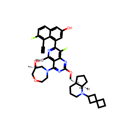 C#Cc1c(F)ccc2cc(O)cc(-c3nc(OC)c4c(N5CCOC[C@@](C)(O)C5)nc(OC[C@]56CCC[C@H]5N(C5CC7(CCC7)C5)CCC6)nc4c3F)c12